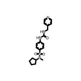 CN(C1CCCC1)S(=O)(=O)c1ccc(NC(=O)NCc2ccncc2)cc1